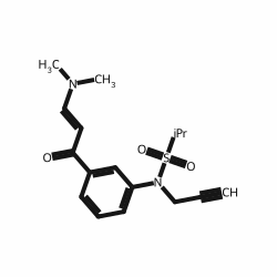 C#CCN(c1cccc(C(=O)C=CN(C)C)c1)S(=O)(=O)C(C)C